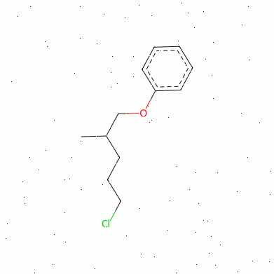 CC(CCCCl)COc1ccccc1